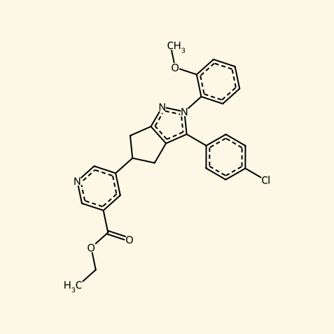 CCOC(=O)c1cncc(C2Cc3nn(-c4ccccc4OC)c(-c4ccc(Cl)cc4)c3C2)c1